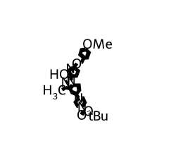 COc1ccc(COC2=NC(O)=C(n3nc(C)c4cc(N5CCN(C(=O)OC(C)(C)C)CC5)ccc43)CC2)cc1